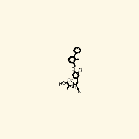 Cc1c(COc2ccc(C=C(C#N)C(=O)NC(C)C(=O)O)cc2Cl)cccc1-c1ccccc1